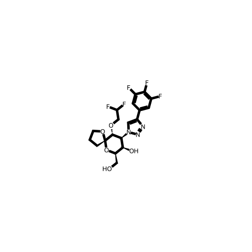 OC[C@H]1O[C@@]2(CCCO2)[C@H](OCC(F)F)[C@@H](n2cc(-c3cc(F)c(F)c(F)c3)nn2)[C@H]1O